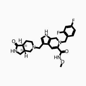 CONC(=O)C1=Cc2c(CN3CC[C@@H]4C(=O)NC[C@H]4C3)c[nH]c2CN1Cc1ccc(F)cc1F